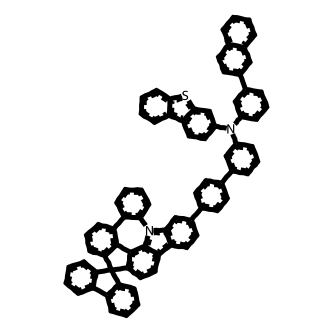 c1cc(-c2ccc(-c3ccc4c5ccc6c7c5n(c4c3)-c3ccccc3-c3cccc(c3-7)C63c4ccccc4-c4ccccc43)cc2)cc(N(c2cccc(-c3ccc4ccccc4c3)c2)c2ccc3c(c2)sc2ccccc23)c1